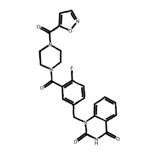 O=C(c1ccno1)N1CCN(C(=O)c2cc(Cn3c(=O)[nH]c(=O)c4ccccc43)ccc2F)CC1